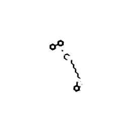 CN(CCCCCCCCCN1CCC(OC(=O)Nc2ccccc2-c2ccccc2)CC1)C(=O)c1ccc(O)c(F)c1F